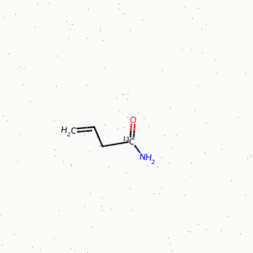 C=C[CH][13C](N)=O